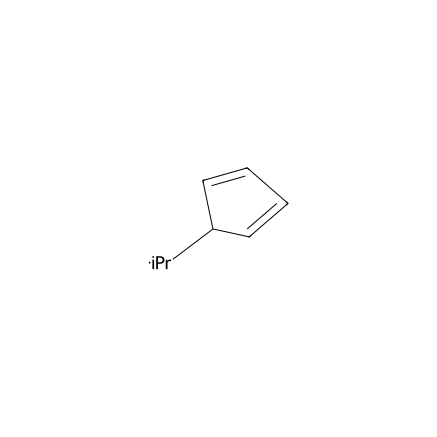 C[C](C)C1C=CC=C1